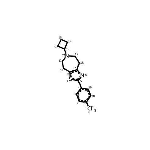 FC(F)(F)c1ccc(-c2nc3c(s2)CCN(C2CCC2)CC3)cc1